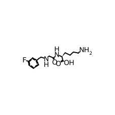 NCCCC[C@H](NC(=O)CNCc1cccc(F)c1)C(=O)O